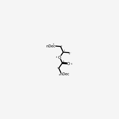 [CH2]C(CCCCCCCCCCC)OC(=O)CCCCCCCCCCC